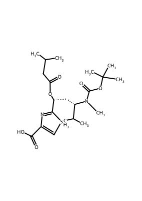 CC(C)CC(=O)O[C@H](C[C@@H](C(C)C)N(C)C(=O)OC(C)(C)C)c1nc(C(=O)O)cs1